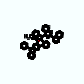 C=C/C=C\c1cc2c(cc1-c1ccccc1C1=Cc3ccccc3C1c1nc(-c3cccc4ccccc34)nc3ncccc13)c1ccccc1n2-c1ccccc1